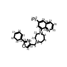 CC(C)c1cc(N2CCCN(Cc3coc(C4=CC=CCC4)n3)CC2)c2ncccc2c1